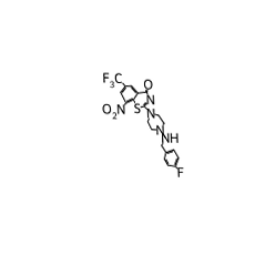 O=c1nc(N2CCN(NCc3ccc(F)cc3)CC2)sc2c([N+](=O)[O-])cc(C(F)(F)F)cc12